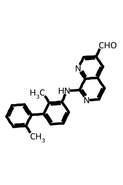 Cc1ccccc1-c1cccc(Nc2nccc3cc(C=O)cnc23)c1C